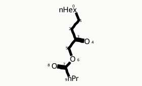 CCCCCCCCC(=O)COC(=O)CCC